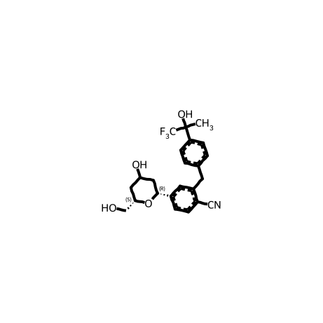 CC(O)(c1ccc(Cc2cc([C@H]3CC(O)C[C@@H](CO)O3)ccc2C#N)cc1)C(F)(F)F